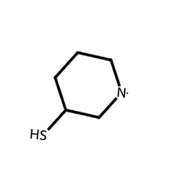 SC1CCC[N]C1